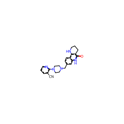 N#Cc1cccnc1N1CCN(Cc2ccc3c4c(c(=O)[nH]c3c2)CCCN4)CC1